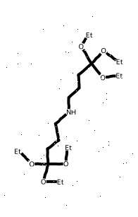 CCOC(CCCNCCCC(OCC)(OCC)OCC)(OCC)OCC